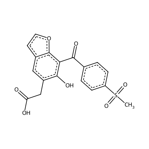 CS(=O)(=O)c1ccc(C(=O)c2c(O)c(CC(=O)O)cc3ccoc23)cc1